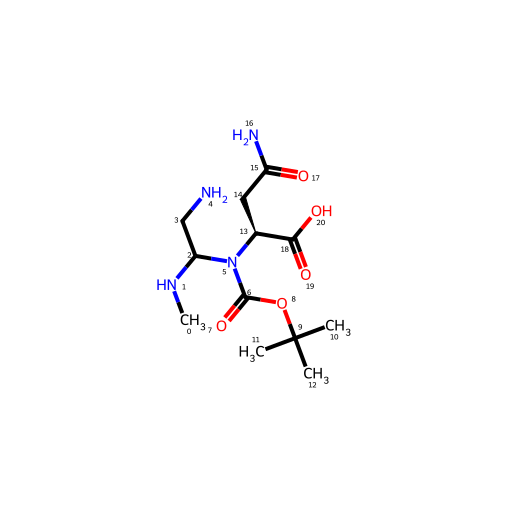 CNC(CN)N(C(=O)OC(C)(C)C)[C@@H](CC(N)=O)C(=O)O